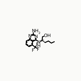 CCCC[C@H](CO)Nc1nc(N)nc2cccc(C(F)(F)F)c12